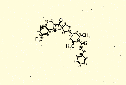 CC1CN([C@@H]2CC[C@@](C(=O)N3CCc4ncc(C(F)(F)F)cc4C3)(C(C)C)C2)CC(C)N1C(=O)OCc1ccccc1